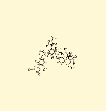 CC(C)=C1OC(=O)N(c2cc(OC3CCCC3)c(Cl)cc2F)C1=O.CC1COc2ccccc2N1C(=O)C(Cl)Cl.CCOCN(C(=O)CCl)c1c(C)cccc1CC.O=C(O)CNCP(=O)(O)O